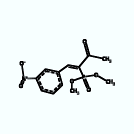 COP(=O)(OC)C(=Cc1cccc([N+](=O)[O-])c1)C(C)=O